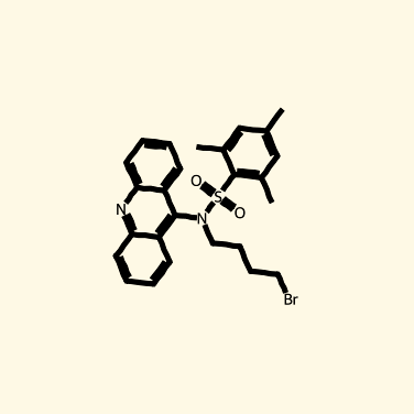 Cc1cc(C)c(S(=O)(=O)N(CCCCBr)c2c3ccccc3nc3ccccc23)c(C)c1